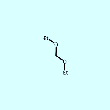 C[CH]OCOCC